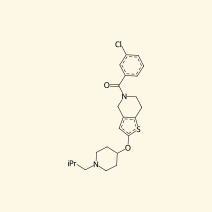 CC(C)CN1CCC(Oc2cc3c(s2)CCN(C(=O)c2cccc(Cl)c2)C3)CC1